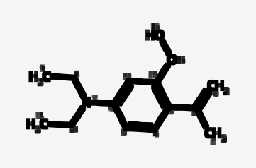 C=C(C)c1ccc(N(CC)CC)cc1OO